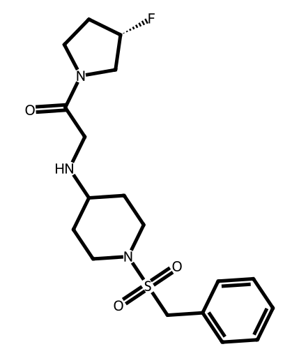 O=C(CNC1CCN(S(=O)(=O)Cc2ccccc2)CC1)N1CC[C@H](F)C1